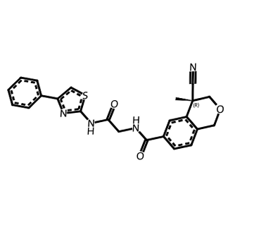 C[C@@]1(C#N)COCc2ccc(C(=O)NCC(=O)Nc3nc(-c4ccccc4)cs3)cc21